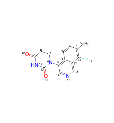 CC(C)c1ccc2c(N3CCC(=O)NC3=O)cncc2c1F